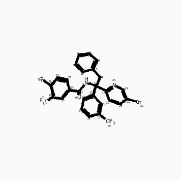 O=C(NC(Cc1ccccc1)(c1cccc(C(F)(F)F)c1)c1ccc(Br)cn1)c1ccc(F)c(C(F)(F)F)c1